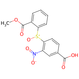 COC(=O)c1ccccc1[S+]([O-])c1ccc(C(=O)O)cc1[N+](=O)[O-]